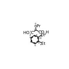 CCCC(C(=O)O)C(=O)O.CCc1ccccc1CC